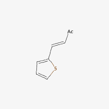 CC(=O)C=Cc1cccs1